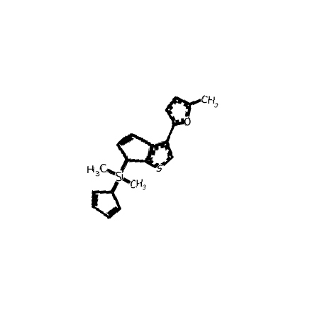 Cc1ccc(-c2csc3c2C=CC3[Si](C)(C)C2C=CC=C2)o1